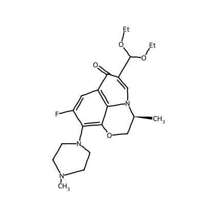 CCOC(OCC)c1cn2c3c(c(N4CCN(C)CC4)c(F)cc3c1=O)OC[C@@H]2C